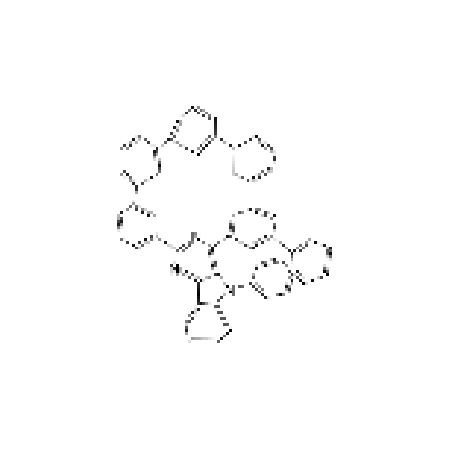 c1ccc(-c2cccc(-c3cccc(-c4cccc(-c5nc(-c6cccc(-c7ccccc7)c6)c6c(n5)c5ccccc5n6-c5ccccc5)c4)c3)c2)cc1